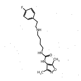 Cc1noc(C)c1NC(=O)NCCCCNCCc1ccc(F)cc1